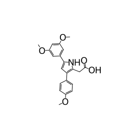 COc1ccc(-c2cc(-c3cc(OC)cc(OC)c3)[nH]c2CC(=O)O)cc1